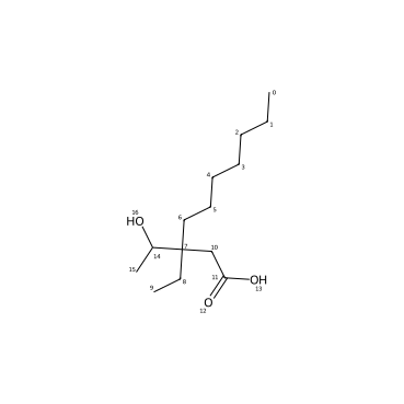 CCCCCCCC(CC)(CC(=O)O)C(C)O